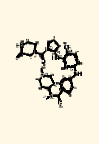 C=C1CN(C(=O)[C@H]2CCC[C@H]2Nc2nc(Nc3ccc(C(=O)N(C)C4CCN(C)CC4)cc3)ncc2C(F)(F)F)CCN1